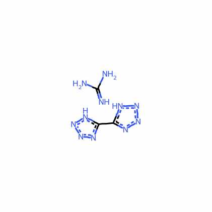 N=C(N)N.n1n[nH]c(-c2nnn[nH]2)n1